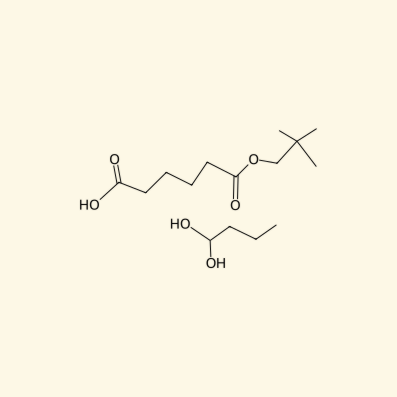 CC(C)(C)COC(=O)CCCCC(=O)O.CCCC(O)O